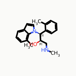 CNC[C@@H](O)[C@H](c1ccccc1C)n1ccc2cccc(C)c21